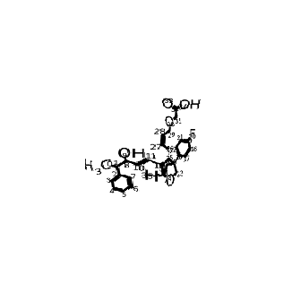 CC(c1ccccc1)[C@@H](O)/C=C/[C@@H]1[C@@H]2C[C@@](c3ccc(F)cc3)(CO2)[C@H]1C/C=C\COCC(=O)O